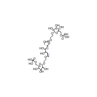 O=P(O)(O)OC[C@H]1OC(OCCO/N=C\[C@@H](O)[C@H](O)O[C@@H](/C=N/OCCOC2O[C@H](COP(=O)(O)O)[C@@H](O)[C@H](O)[C@@H]2O)CO)[C@@H](O)[C@@H](O)[C@@H]1O